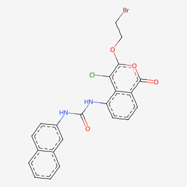 O=C(Nc1ccc2ccccc2c1)Nc1cccc2c(=O)oc(OCCBr)c(Cl)c12